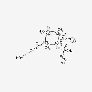 CCC1=C(C)c2cc3[nH]c(cc4nc(c5c6[nH]c(cc1n2)c(C)c6C(=O)N(CCN1CCOCC1)C5=O)[C@@H](CCC(=O)N(C)CCNC(=O)CN)[C@@H]4C)c(C)c3/C=C/C(=O)OCCOCCOCCO